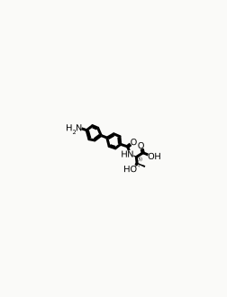 C[C@@H](O)[C@H](NC(=O)c1ccc(-c2ccc(N)cc2)cc1)C(=O)O